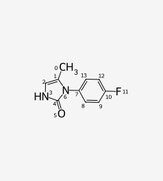 Cc1c[nH]c(=O)n1-c1ccc(F)cc1